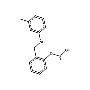 Cc1cccc(NCc2ccccc2OBO)c1